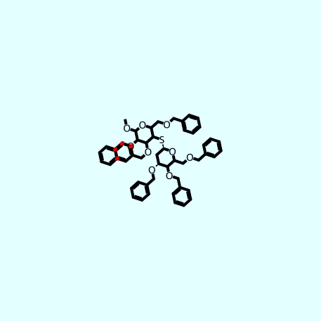 COC1OC(COCc2ccccc2)C(S[C@H]2C[C@@H](OCc3ccccc3)C(OCc3ccccc3)C(COCc3ccccc3)O2)C(OCc2ccccc2)C1OCc1ccccc1